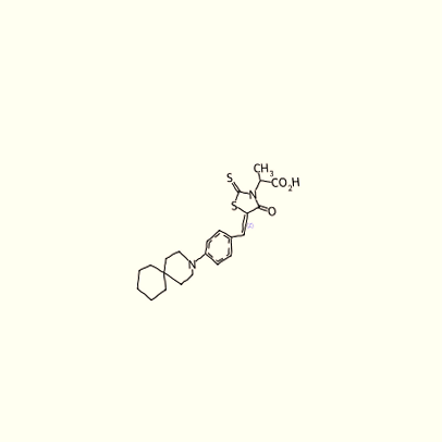 CC(C(=O)O)N1C(=O)/C(=C/c2ccc(N3CCC4(CCCCC4)CC3)cc2)SC1=S